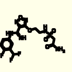 N=C(Nc1ccc(F)c(C(F)F)c1)c1nonc1OCCNS(=O)(=O)CC(N)=O